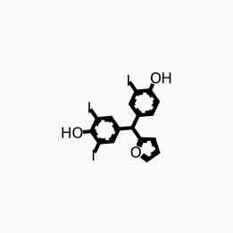 Oc1ccc(C(c2cc(I)c(O)c(I)c2)c2ccco2)cc1I